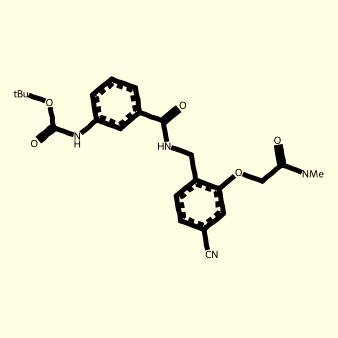 CNC(=O)COc1cc(C#N)ccc1CNC(=O)c1cccc(NC(=O)OC(C)(C)C)c1